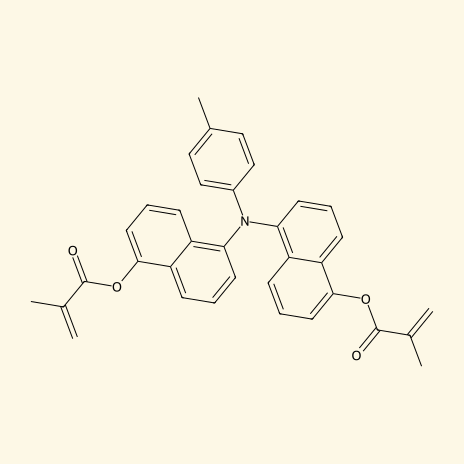 C=C(C)C(=O)Oc1cccc2c(N(c3ccc(C)cc3)c3cccc4c(OC(=O)C(=C)C)cccc34)cccc12